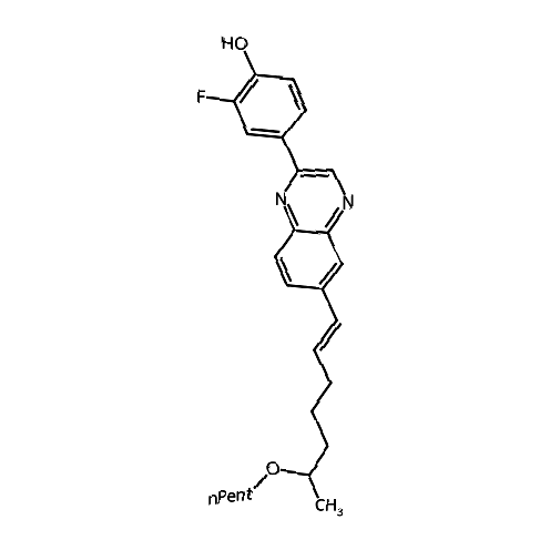 CCCCCOC(C)CCCC=Cc1ccc2nc(-c3ccc(O)c(F)c3)cnc2c1